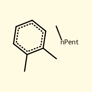 CCCCCC.Cc1ccccc1C